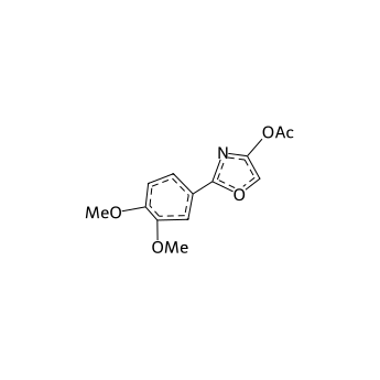 COc1ccc(-c2nc(OC(C)=O)co2)cc1OC